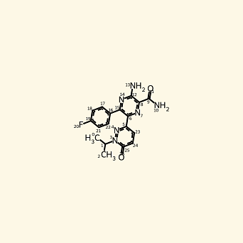 CC(C)n1nc(-c2nc(C(N)=O)c(N)nc2-c2ccc(F)cc2)ccc1=O